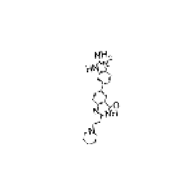 Nc1nc2ccc(-c3ccc4nc(CCN5CCCCC5)[nH]c(=O)c4c3)cc2[nH]1